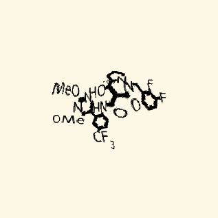 COc1ncc(-c2cc(C(F)(F)F)ccc2NC(=O)C2=C(O)[C@@]3(C)CCCN3N(Cc3cccc(F)c3F)C2=O)c(OC)n1